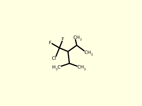 C[C](C)C(C(C)C)C(F)(F)Cl